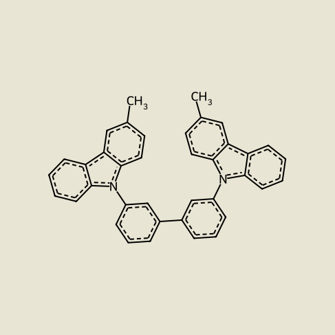 Cc1ccc2c(c1)c1ccccc1n2-c1cccc(-c2cccc(-n3c4ccccc4c4cc(C)ccc43)c2)c1